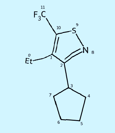 CCc1c(C2CCCC2)nsc1C(F)(F)F